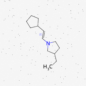 CCC1CCN(/C=C/C2CCCC2)C1